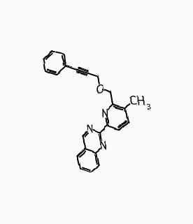 Cc1ccc(-c2ncc3ccccc3n2)nc1COCC#Cc1ccccc1